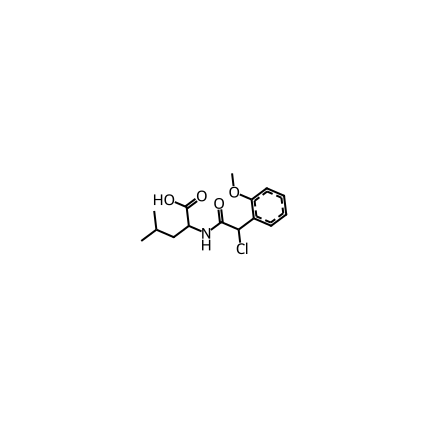 COc1ccccc1C(Cl)C(=O)NC(CC(C)C)C(=O)O